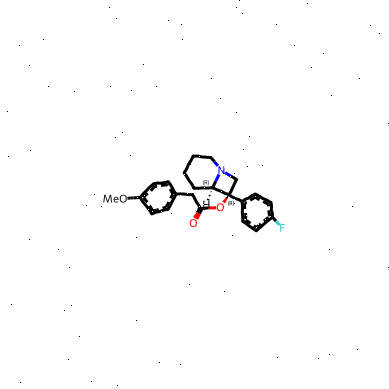 COc1ccc(CC(=O)O[C@]2(c3ccc(F)cc3)CN3CCCC[C@@H]32)cc1